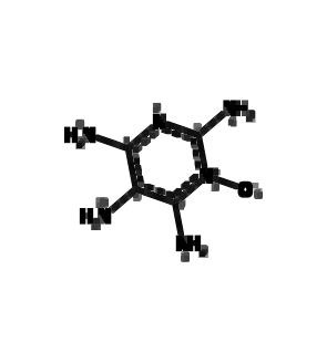 Nc1nc(N)[n+]([O-])c(N)c1N